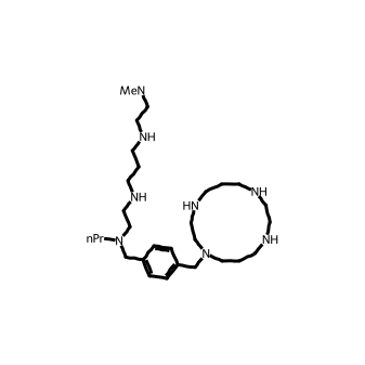 CCCN(CCNCCCNCCNC)Cc1ccc(CN2CCCNCCNCCCNCC2)cc1